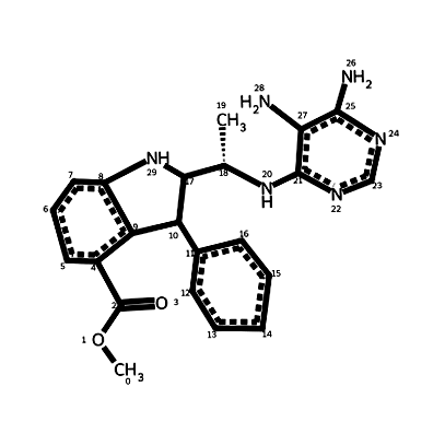 COC(=O)c1cccc2c1C(c1ccccc1)C([C@H](C)Nc1ncnc(N)c1N)N2